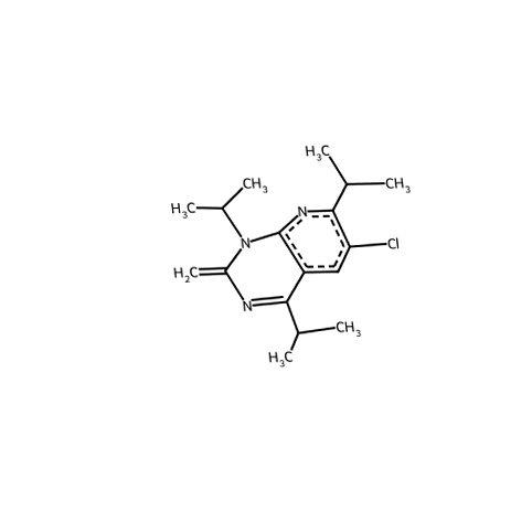 C=C1N=C(C(C)C)c2cc(Cl)c(C(C)C)nc2N1C(C)C